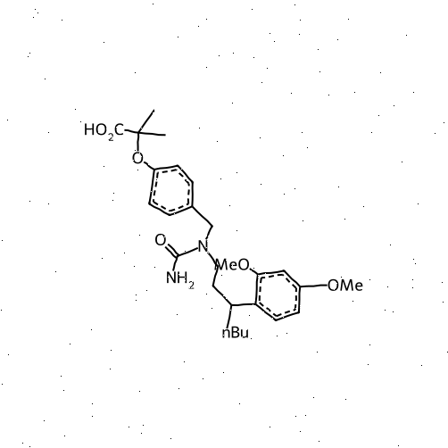 CCCCC(CCN(Cc1ccc(OC(C)(C)C(=O)O)cc1)C(N)=O)c1ccc(OC)cc1OC